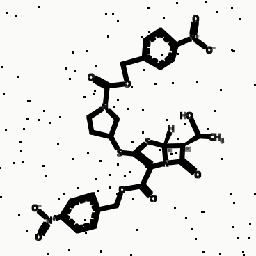 CC(O)[C@H]1C(=O)N2C(C(=O)OCc3ccc([N+](=O)[O-])cc3)=C(SC3CCN(C(=O)OCc4ccc([N+](=O)[O-])cc4)C3)S[C@H]12